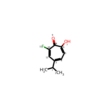 CC(C)c1ccc(O)c(=O)c(F)c1